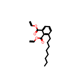 C=COC(=O)c1cccc(CCCCCCCC)c1C(=O)OC=C